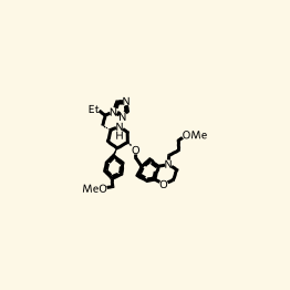 CCC(C[C@H]1C[C@H](c2ccc(COC)cc2)[C@@H](OCc2ccc3c(c2)N(CCCOC)CCO3)CN1)n1cncn1